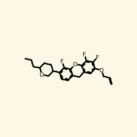 C=CCOc1cc2c(c(F)c1F)Oc1c(ccc(C3CCC(CCC)OC3)c1F)C2